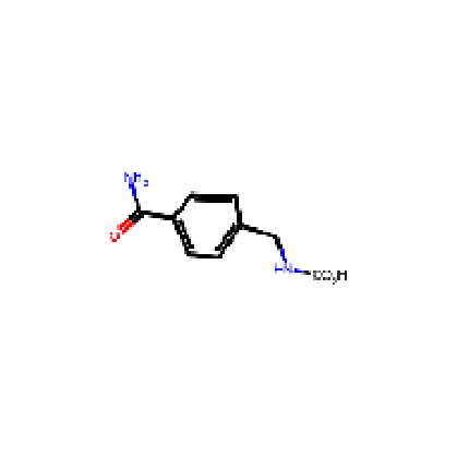 NC(=O)c1ccc(CNC(=O)O)cc1